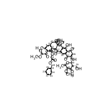 COC(=O)C(=O)c1c(C)cc2c(c1OCC(=O)OCc1ccccc1)[C@]1(O)C(=O)c3cc4c(c(O)c3C(=O)[C@]1(OC)[C@H](O)C2)C(=O)C=C(NC1O[C@@H](C)[C@H](OC)[C@@H](O)[C@H]1CO)C4=O